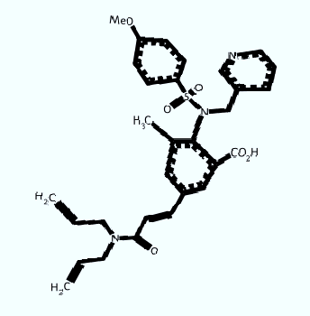 C=CCN(CC=C)C(=O)C=Cc1cc(C)c(N(Cc2cccnc2)S(=O)(=O)c2ccc(OC)cc2)c(C(=O)O)c1